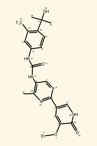 CCOc1cc(-c2ncc(NC(=O)Nc3ccc(C(C)(C)O)c(C(F)(F)F)c3)c(C)n2)c[nH]c1=O